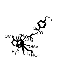 C=C1[C@H](C)[C@]23CCC(OC)[C@H]2[C@@](C)([C@H](C)CC3)[C@H](OC(=O)COS(=O)(=O)c2ccc(C)cc2)C[C@@]1(C/C=N/O)OC